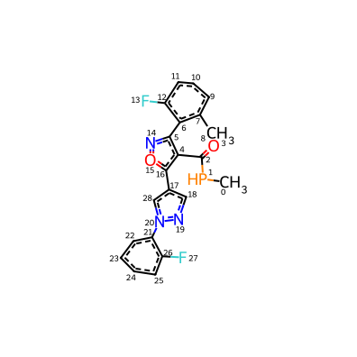 CPC(=O)c1c(-c2c(C)cccc2F)noc1-c1cnn(-c2ccccc2F)c1